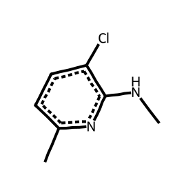 CNc1nc(C)ccc1Cl